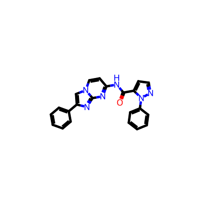 O=C(Nc1ccn2cc(-c3ccccc3)nc2n1)c1ccnn1-c1ccccc1